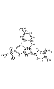 CS(=O)(=O)c1ccc2c(c1)nc(N1CCC(F)[C@H](N)C1)n2Cc1ccc(Cl)cn1